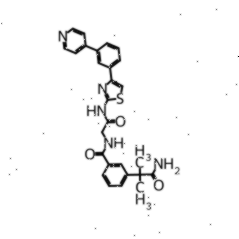 CC(C)(C(N)=O)c1cccc(C(=O)NCC(=O)Nc2nc(-c3cccc(-c4ccncc4)c3)cs2)c1